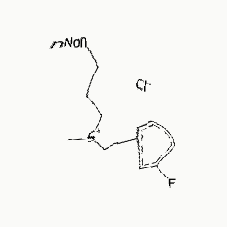 CCCCCCCCCCCC[S+](C)Cc1cccc(F)c1.[Cl-]